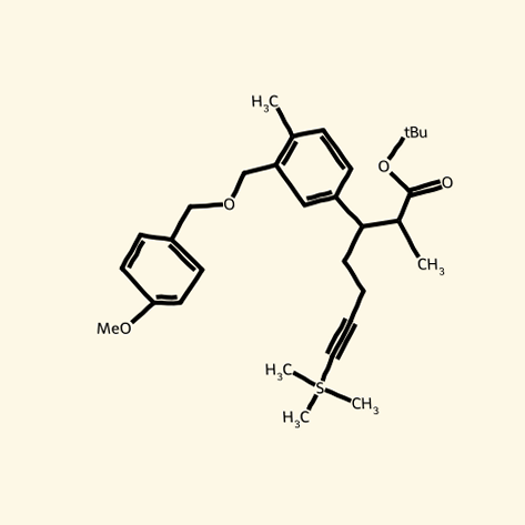 COc1ccc(COCc2cc(C(CCC#CS(C)(C)C)C(C)C(=O)OC(C)(C)C)ccc2C)cc1